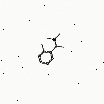 C[C](c1ccccc1C)N(C)C